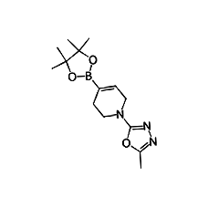 Cc1nnc(N2CC=C(B3OC(C)(C)C(C)(C)O3)CC2)o1